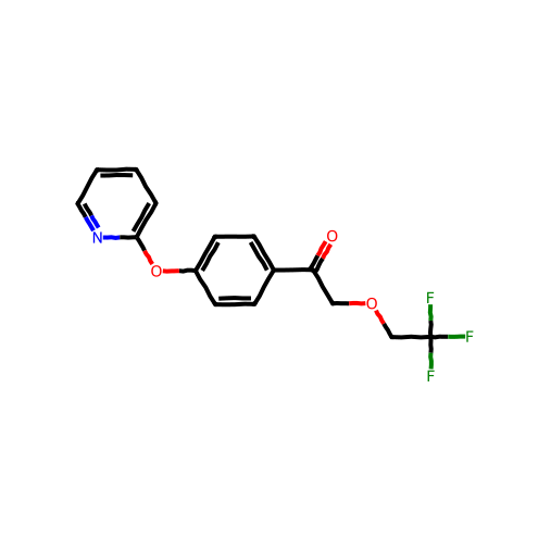 O=C(COCC(F)(F)F)c1ccc(Oc2ccccn2)cc1